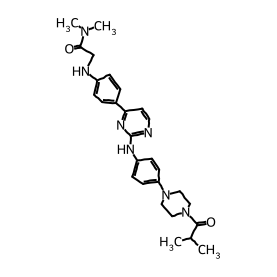 CC(C)C(=O)N1CCN(c2ccc(Nc3nccc(-c4ccc(NCC(=O)N(C)C)cc4)n3)cc2)CC1